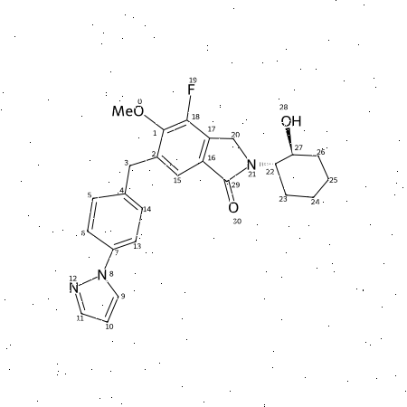 COc1c(Cc2ccc(-n3cccn3)cc2)cc2c(c1F)CN([C@H]1CCCC[C@@H]1O)C2=O